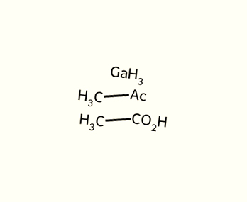 CC(=O)O.CC(C)=O.[GaH3]